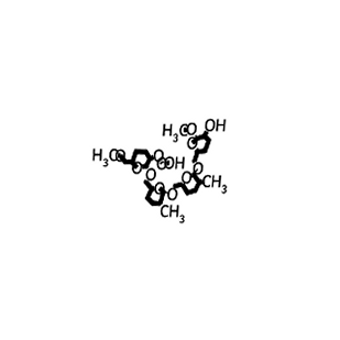 COCC1CCC(OOO)[C@@H](OCC2CCC(C)[C@@H](OCC3CCC(C)[C@@H](OCC4CCC(O)[C@@H](OC)O4)O3)O2)O1